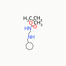 CC(C)(C)OC(=O)NCCNCC1CCCCCC1